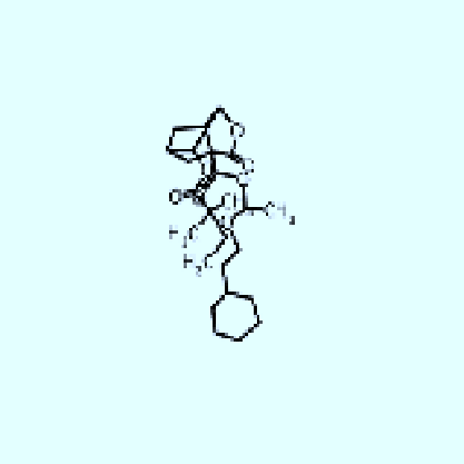 CCC(C)(C)C(=O)OC1C2CC3C1OC(=O)C3(C(=O)OC(C)OCCC1CCCCC1)C2